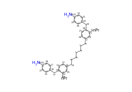 CCCc1cc(CCCCCCCc2ccc(Cc3ccc(N)cc3)c(CCC)c2)ccc1Cc1ccc(N)cc1